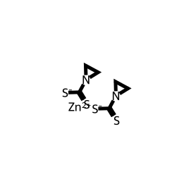 S=C([S-])N1CC1.S=C([S-])N1CC1.[Zn+2]